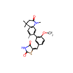 Cc1cc2c(cc1-c1cc(C=C3SC(=O)NC3=O)ccc1OC(F)(F)F)N(C)C(=O)CC2(C)C